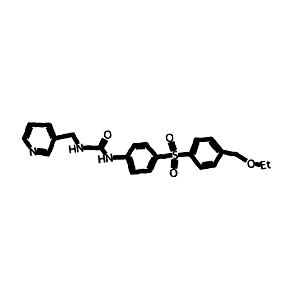 CCOCc1ccc(S(=O)(=O)c2ccc(NC(=O)NCc3cccnc3)cc2)cc1